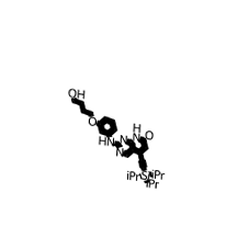 CC(C)[Si](C#Cc1cc(=O)[nH]c2nc(Nc3cccc(OCCCCO)c3)ncc12)(C(C)C)C(C)C